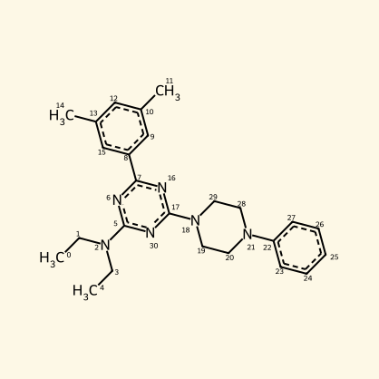 CCN(CC)c1nc(-c2cc(C)cc(C)c2)nc(N2CCN(c3ccccc3)CC2)n1